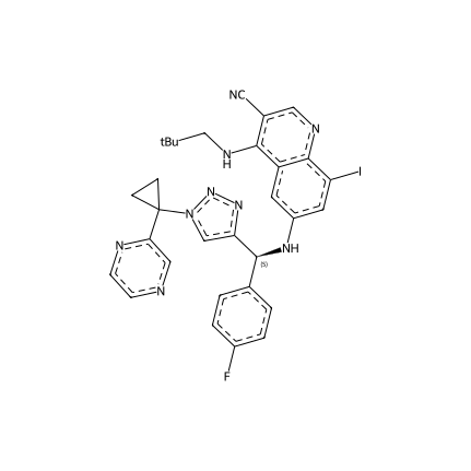 CC(C)(C)CNc1c(C#N)cnc2c(I)cc(N[C@@H](c3ccc(F)cc3)c3cn(C4(c5cnccn5)CC4)nn3)cc12